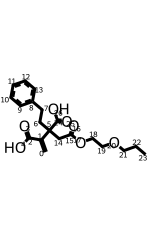 C=C(C(=O)O)C(CCc1ccccc1)(CC(=O)OCCOCCC)C(=O)O